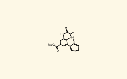 COC(=O)c1cc2c(c(-c3ccccc3F)c1)NC(C)C(=O)N2